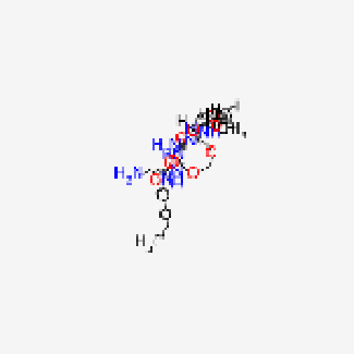 CCCCc1ccc(-c2ccc(C(=O)N[C@@H](CCCCN)C(=O)N[C@H]3COCCCCOCC[C@@H](C(=O)N[C@@H](C)B4O[C@@H]5C[C@@H]6C[C@@H](C6(C)C)[C@]5(C)O4)NC(=O)[C@H](N)NC3=O)cc2)cc1